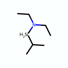 CCN(CC)[SiH2]C(C)C